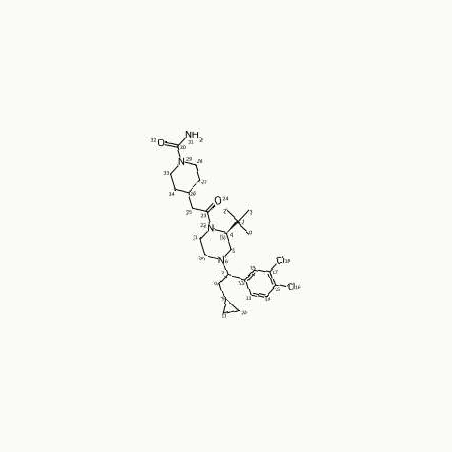 CC(C)(C)[C@H]1CN(C(CC2CC2)c2ccc(Cl)c(Cl)c2)CCN1C(=O)CC1CCN(C(N)=O)CC1